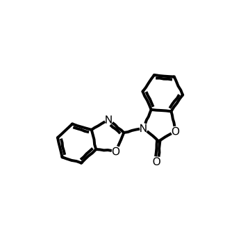 O=c1oc2ccccc2n1-c1nc2ccccc2o1